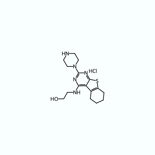 Cl.OCCNc1nc(N2CCNCC2)nc2sc3c(c12)CCCC3